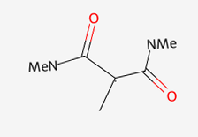 CNC(=O)[C](C)C(=O)NC